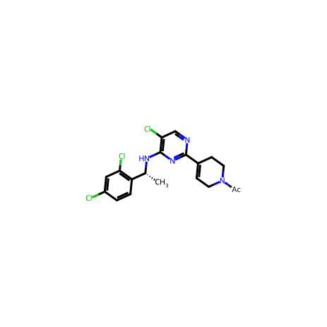 CC(=O)N1CC=C(c2ncc(Cl)c(N[C@H](C)c3ccc(Cl)cc3Cl)n2)CC1